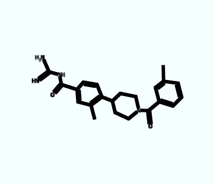 Cc1cccc(C(=O)N2CCC(c3ccc(C(=O)NC(=N)N)cc3C)CC2)c1